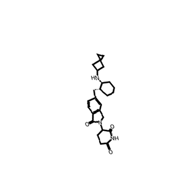 O=C1CCC(N2Cc3cc(C[C@H]4CCCC[C@@H]4NC4CC5(CC5)C4)ccc3C2=O)C(=O)N1